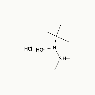 C[SiH](C)N(O)C(C)(C)C.Cl